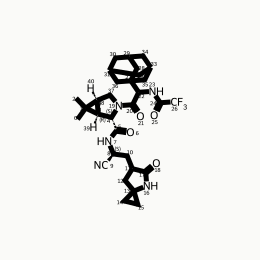 CC1(C)[C@@H]2[C@@H](C(=O)N[C@H](C#N)CC3CC4(CC4)NC3=O)N(C(=O)C(NC(=O)C(F)(F)F)C34CC5CC(CC(C5)C3)C4)C[C@@H]21